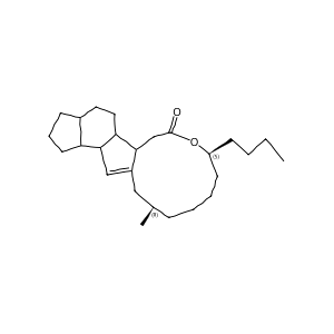 CCCC[C@H]1CCCC[C@@H](C)CC2=CC3C4CCCC4CCC3C2CC(=O)O1